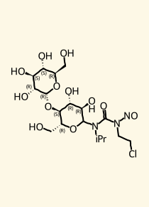 CC(C)N(C(=O)N(CCCl)N=O)C1O[C@H](CO)[C@@H](O[C@H]2O[C@H](CO)[C@@H](O)[C@H](O)[C@H]2O)[C@H](O)[C@H]1O